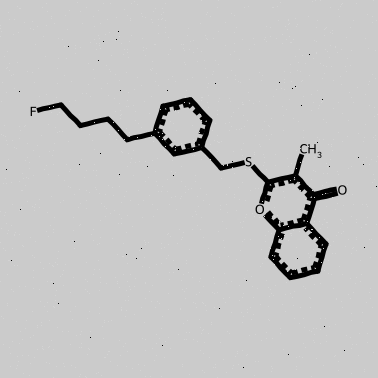 Cc1c(SCc2cccc(CCCCF)c2)oc2ccccc2c1=O